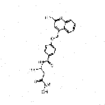 Cc1cc(COc2ccc(C(=O)NC(C)CC(=O)NO)cc2)c2ccccc2n1